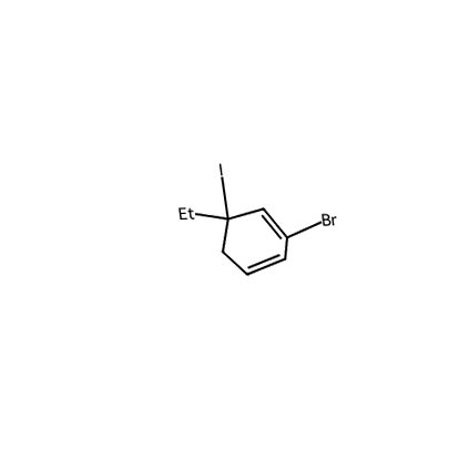 CCC1(I)C=C(Br)C=CC1